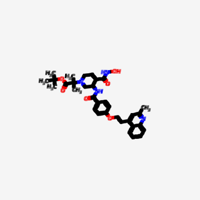 Cc1cc(CCOc2ccc(C(=O)NC3CN(C(C)(C)C(=O)OC(C)(C)C)CCC3C(=O)NO)cc2)c2ccccc2n1